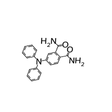 NC(=O)c1ccc(N(c2ccccc2)c2ccccc2)cc1C(N)=O